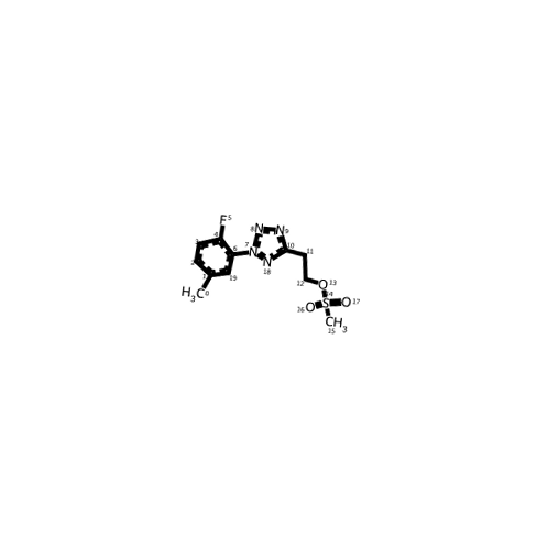 Cc1ccc(F)c(-n2nnc(CCOS(C)(=O)=O)n2)c1